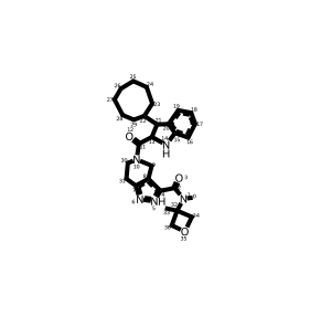 CN(C(=O)c1[nH]nc2c1CN(C(=O)C1Nc3ccccc3C1C1CCCCCCC1)CC2)C1(C)COC1